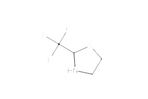 FC(F)(F)C1NCCS1